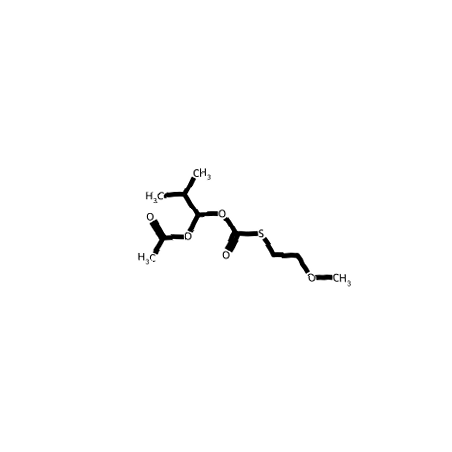 COCCSC(=O)OC(OC(C)=O)C(C)C